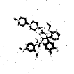 CCOc1ncccc1C1(OC(=O)ON2CCN(C3CCN(C)CC3)CC2)C(=O)N(S(=O)(=O)c2ccc(OC)cc2OC)c2cc(F)c(Cl)cc21